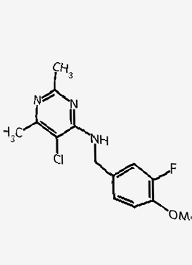 COc1ccc(CNc2nc(C)nc(C)c2Cl)cc1F